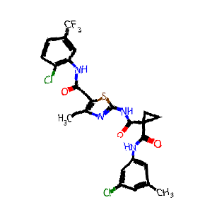 Cc1cc(Cl)cc(NC(=O)C2(C(=O)Nc3nc(C)c(C(=O)Nc4cc(C(F)(F)F)ccc4Cl)s3)CC2)c1